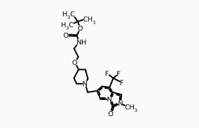 Cn1cc2c(C(F)(F)F)cc(CN3CCC(OCCNC(=O)OC(C)(C)C)CC3)cn2c1=O